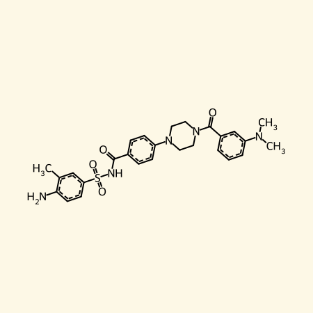 Cc1cc(S(=O)(=O)NC(=O)c2ccc(N3CCN(C(=O)c4cccc(N(C)C)c4)CC3)cc2)ccc1N